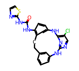 O=C(Nc1nccs1)Nc1ccc2cc1CCc1cccc(c1)Nc1ncc(Cl)c(n1)N2